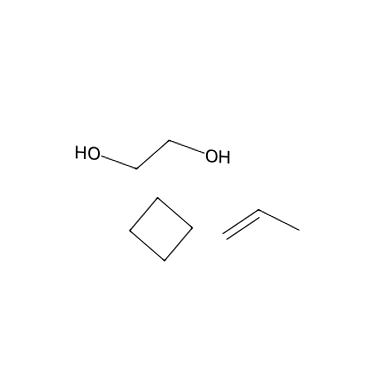 C1CCC1.C=CC.OCCO